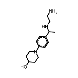 CC(NCCN)c1ccc(N2CCC(O)CC2)cc1